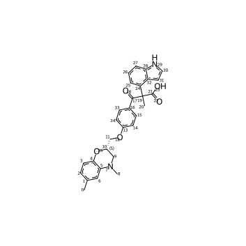 Cc1ccc2c(c1)N(C)C[C@@H](COc1ccc(C(=O)C(C)(C(=O)O)c3cccc4[nH]ccc34)cc1)O2